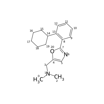 CN(C)Cc1cnc(-c2ccc[c]c2C2CCCCC2)o1